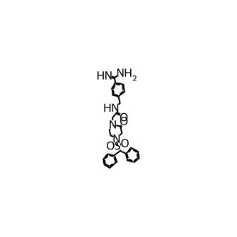 N=C(N)c1ccc(CNC(=O)CN2CCN(S(=O)(=O)C(c3ccccc3)c3ccccc3)CC2=O)cc1